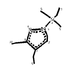 Cc1cn([Si](C)(C)C)nc1C